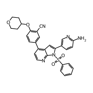 N#Cc1cc(-c2ccnc3c2cc(-c2ccc(N)nc2)n3S(=O)(=O)c2ccccc2)ccc1OC1CCOCC1